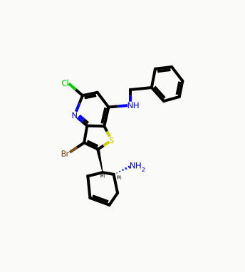 N[C@@H]1CC=CC[C@H]1c1sc2c(NCc3ccccc3)cc(Cl)nc2c1Br